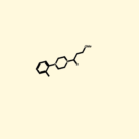 CCC(CCOC)N1CCN(c2ccccc2C)CC1